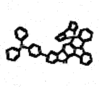 c1ccc(N(c2ccccc2)c2ccc(-c3ccc4oc5c(cc6c7c5c5ccccc5n7-c5ccccc5C65c6ccccc6-c6ccccc65)c4c3)cc2)cc1